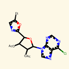 CCc1cnc(C2OC(n3cnc4c(Cl)ncnc43)C(OC(C)=O)C2OC(C)=O)o1